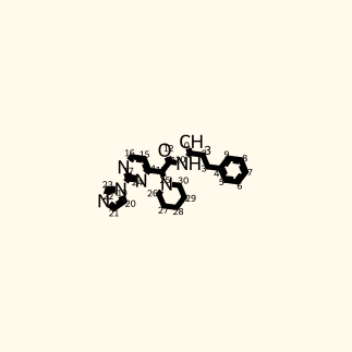 CC(CCc1ccccc1)NC(=O)C(c1ccnc(-n2ccnc2)n1)N1CCCCC1